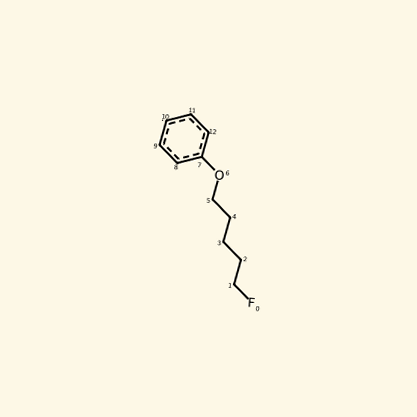 FCCCCCOc1cc[c]cc1